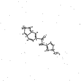 Cn1ccc(NC(=O)c2ccc3c[nH]nc3c2)n1